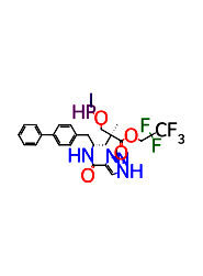 C[C@@](COPI)(C[C@@H](Cc1ccc(-c2ccccc2)cc1)NC(=O)c1c[nH]nn1)C(=O)OCC(F)(F)C(F)(F)F